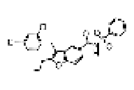 CCCc1oc2ccc(C(=O)NS(=O)(=O)c3ccccc3)cc2c1Cc1ccc(Cl)cc1Cl